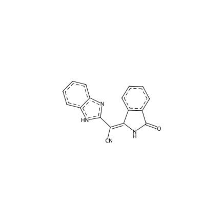 N#CC(=C1NC(=O)c2ccccc21)c1nc2ccccc2[nH]1